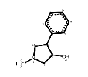 CN1CC(O)C(c2ccccc2)C1